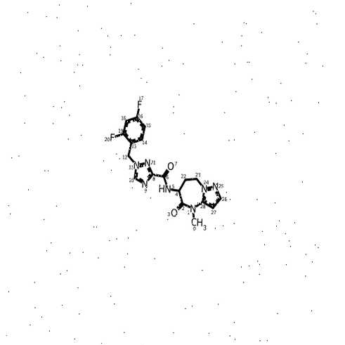 CN1C(=O)C(NC(=O)c2ncn(Cc3ccc(F)cc3F)n2)CCn2nccc21